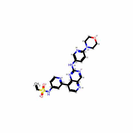 C=CS(=O)(=O)Nc1ccnc(-c2ccnc3cnc(Nc4ccc(N5CCOCC5)nc4)nc23)c1